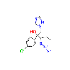 CCC(N=[N+]=[N-])C(O)(Cn1cncn1)c1ccc(Cl)cc1